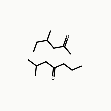 CCC(C)CC(C)=O.CCCC(=O)CC(C)C